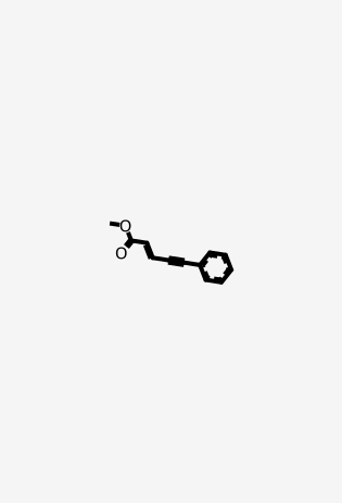 COC(=O)C=CC#Cc1ccccc1